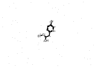 CCOC(O)Cc1ccc(Br)cn1